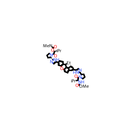 CCC1c2ccc(-c3cnc([C@@H]4CCCN4C(=O)[C@@H](OC(=O)NC)C(C)C)[nH]3)cc2Oc2ccc3cc(-c4cnc(C5CCCN5C(=O)C(NC(=O)OC)C(C)C)[nH]4)ccc3c21